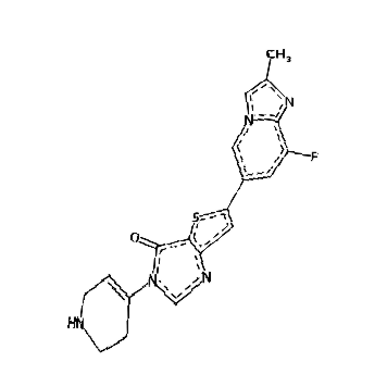 Cc1cn2cc(-c3cc4ncn(C5=CCNCC5)c(=O)c4s3)cc(F)c2n1